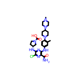 Cc1cc(Nc2nc(N[C@@H]3CCN(C(=O)O)C3)c(Cl)nc2C(N)=O)ccc1N1CCC(N2CCN(C)CC2)CC1